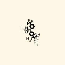 CC1(C)C(=O)Nc2cc(N(C(N)=O)c3cccc(C(F)(F)F)c3)ccc21